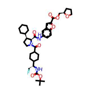 CC(C)(C)OC(=O)N[C@H](CF)C1CCC(C(=O)N2CC[C@@H](C3CCCCC3)[C@H]2C(=O)Nc2ccc3oc(C(=O)OC[C@H]4CCCO4)cc3c2)CC1